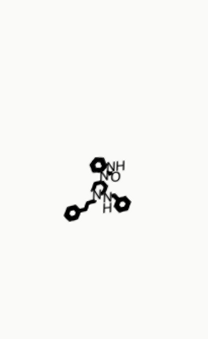 O=c1[nH]c2ccccc2n1C1CCN(CCCc2ccccc2)C(NCc2ccccc2)C1